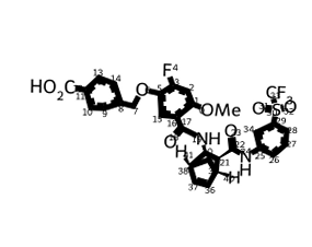 COc1cc(F)c(OCc2ccc(C(=O)O)cc2)cc1C(=O)N[C@H]1[C@@H](C(=O)Nc2cccc(S(=O)(=O)C(F)(F)F)c2)[C@@H]2C=C[C@H]1C2